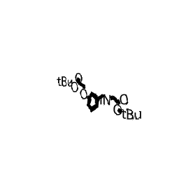 CC(C)(C)OC(=O)CNCc1cccc(OCC(=O)OC(C)(C)C)c1